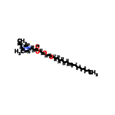 CCCCCCCCC=CCCCCCCCCOCCOCCOC(=O)CCN1CC[N+](C)(CCCC)CC1